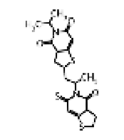 CC(C)N1C(=O)C=C2SC(CC(C)N3C(=O)C4CCSC4=CC3=S)CC2C1=O